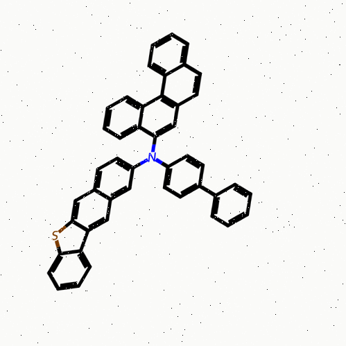 c1ccc(-c2ccc(N(c3ccc4cc5sc6ccccc6c5cc4c3)c3cc4ccc5ccccc5c4c4ccccc34)cc2)cc1